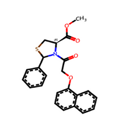 COC(=O)[C@@H]1CSC(c2ccccc2)N1C(=O)COc1cccc2ccccc12